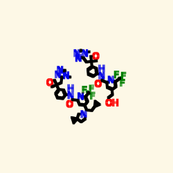 Cn1cnnc1CC1(c2cccc(NC(=O)c3cc(C(CC4CC4)N4CCC5(CC5)C4)cc(C(F)(F)F)n3)c2)COC1.Cn1cnnc1CC1(c2cccc(NC(=O)c3cc(CCO)cc(C(F)(F)F)n3)c2)COC1